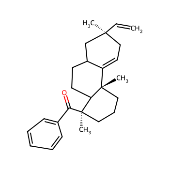 C=C[C@@]1(C)CC=C2C(CCC3[C@](C)(C(=O)c4ccccc4)CCC[C@@]23C)C1